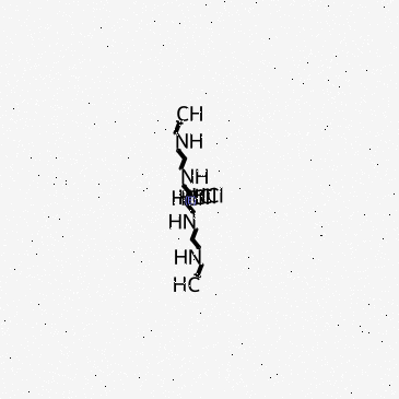 C#CCNCCCNC/C=C/CNCCCNCC#C.Cl.Cl.Cl.Cl